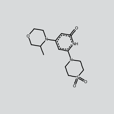 CC1COCCN1c1cc(N2CCS(=O)(=O)CC2)[nH]c(=O)c1